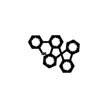 Nc1ccccc1-c1cccc2c1-c1ccccc1C21c2ccccc2-c2ccccc21